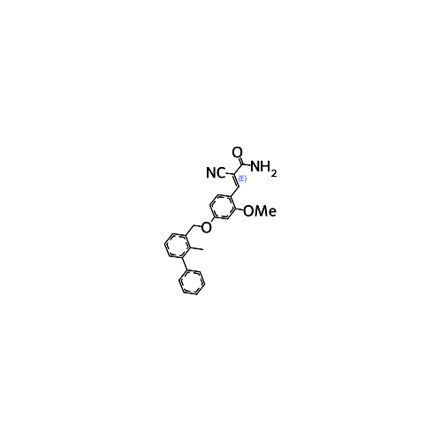 COc1cc(OCc2cccc(-c3ccccc3)c2C)ccc1/C=C(\C#N)C(N)=O